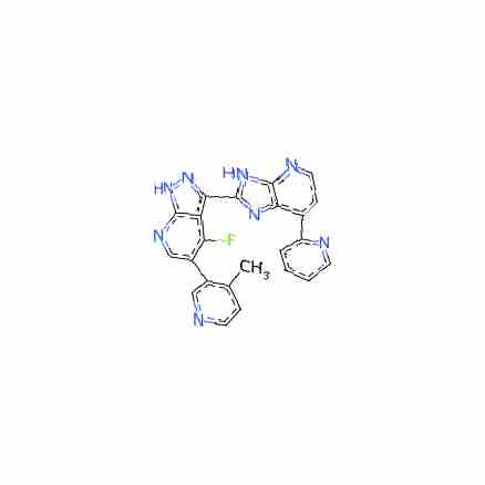 Cc1ccncc1-c1cnc2[nH]nc(-c3nc4c(-c5ccccn5)ccnc4[nH]3)c2c1F